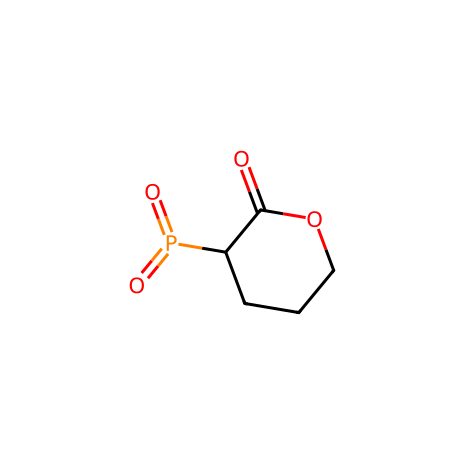 O=C1OCCCC1P(=O)=O